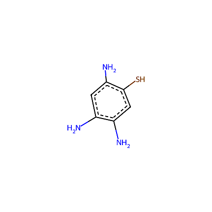 Nc1cc(N)c(S)cc1N